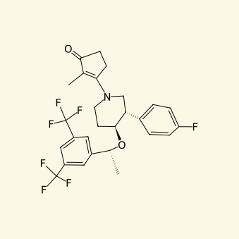 CC1=C(N2CC[C@H](O[C@H](C)c3cc(C(F)(F)F)cc(C(F)(F)F)c3)[C@@H](c3ccc(F)cc3)C2)CCC1=O